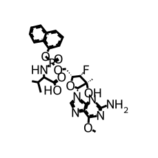 COc1nc(N)nc2c1ncn2[C@@H]1O[C@H](COP(=O)(NC(C(=O)O)C(C)C)Oc2cccc3ccccc23)[C@H](F)[C@@]1(C)O